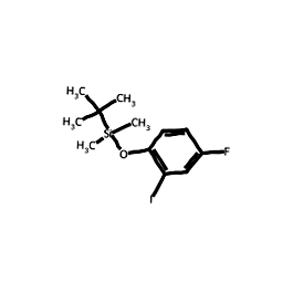 CC(C)(C)[Si](C)(C)Oc1ccc(F)cc1I